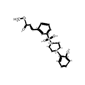 COC(=O)/C=C/c1cccc(S(=O)(=O)N2CCN(c3ccccc3Cl)CC2)c1